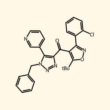 CC(C)(C)c1onc(-c2ccccc2Cl)c1C(=O)c1nnn(Cc2ccccc2)c1-c1cccnc1